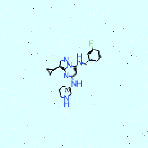 Fc1cccc(CNc2cc(N[C@H]3CCCNC3)nc3c(C4CC4)cnn23)c1